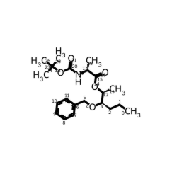 CCC[C@@H](OCc1ccccc1)[C@H](C)OC(=O)[C@H](C)NC(=O)OC(C)(C)C